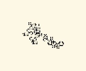 CC(C)(C)C(=O)OCOP(=O)(OCOC(=O)C(C)(C)C)OP(=O)(OCOC(=O)C(C)(C)C)OC[C@H]1O[C@@H](n2ccc(=O)n(Cc3noc4ccccc34)c2=O)CC1(C)C